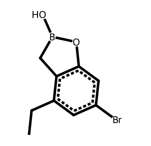 CCc1cc(Br)cc2c1CB(O)O2